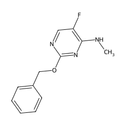 CNc1nc(OCc2ccccc2)ncc1F